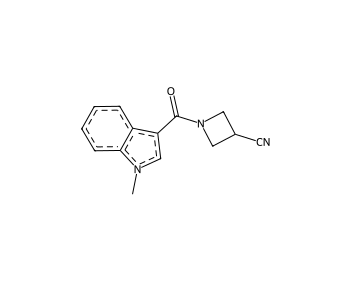 Cn1cc(C(=O)N2CC(C#N)C2)c2ccccc21